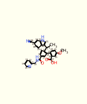 CCC(c1ccc(C(=O)NCc2ccccn2)cc1-c1ccc(OC)cc1C(=O)O)c1c[nH]c2cc(C#N)ccc12